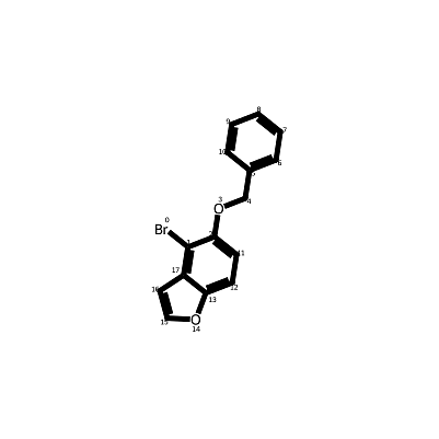 Brc1c(OCc2ccccc2)ccc2occc12